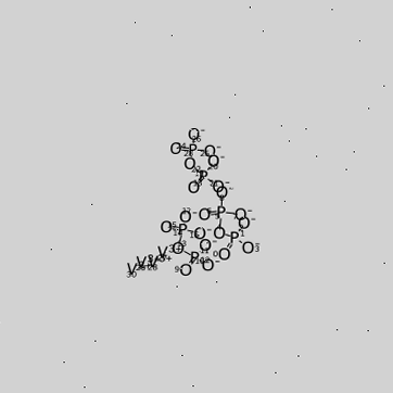 O=P([O-])([O-])OP(=O)([O-])[O-].O=P([O-])([O-])OP(=O)([O-])[O-].O=P([O-])([O-])OP(=O)([O-])[O-].[V+3].[V+3].[V+3].[V+3]